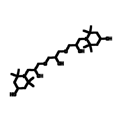 CC1(C)CC(O)CC(C)(C)N1CC(O)COCC(O)COCC(O)CN1C(C)(C)CC(O)CC1(C)C